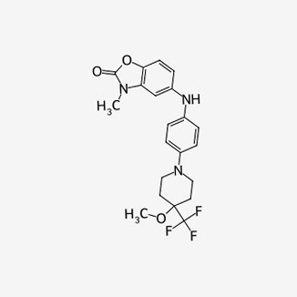 COC1(C(F)(F)F)CCN(c2ccc(Nc3ccc4oc(=O)n(C)c4c3)cc2)CC1